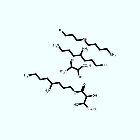 NCCCC(N)CCCO.NCCCC(N)CCCOC(=O)C(O)C(O)C(=O)O.NCCCCNCCCO.O=C(O)C(O)C(O)C(=O)O